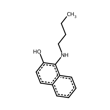 CCCCNc1c(O)ccc2ccccc12